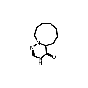 O=C1NC=NN2CCCCCCCC12